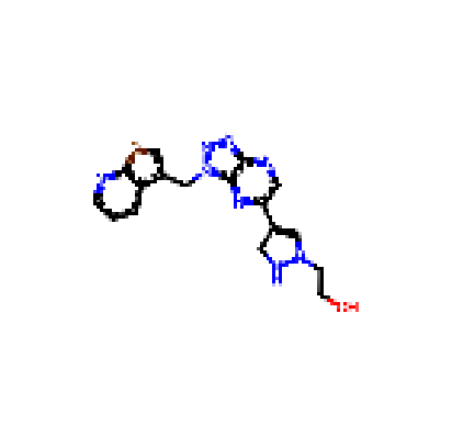 OCCN1C=C(c2cnc3nnn(Cc4csc5ncccc45)c3n2)CN1